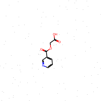 O=C(O)COC(=O)c1cccnc1